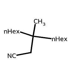 CCCCCCC(C)(CC#N)CCCCCC